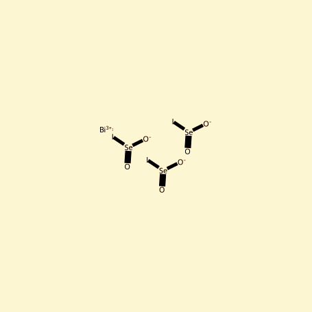 O=[Se]([O-])I.O=[Se]([O-])I.O=[Se]([O-])I.[Bi+3]